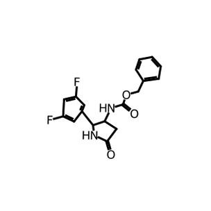 O=C1CC(NC(=O)OCc2ccccc2)C(c2cc(F)cc(F)c2)N1